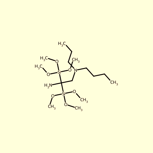 CCCCN(CCC)CC(N)([Si](OC)(OC)OC)[Si](OC)(OC)OC